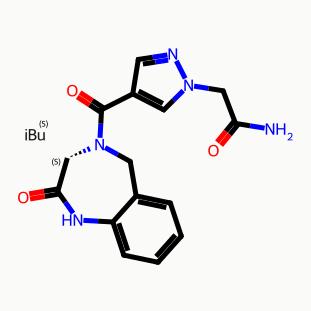 CC[C@H](C)[C@H]1C(=O)Nc2ccccc2CN1C(=O)c1cnn(CC(N)=O)c1